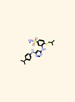 CNS(=O)(=O)c1ccc(SCC(C)C)c(Nc2cc(Nc3ccc(C(C)C)cc3)ncn2)c1